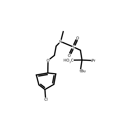 CC(C)C(CS(=O)(=O)N(C)CCOc1ccc(Cl)cc1)(C(=O)O)C(C)(C)C